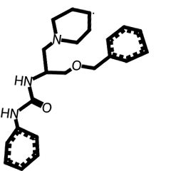 O=C(Nc1ccccc1)NC(COCc1ccccc1)CN1CC[CH]CC1